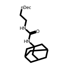 CCCCCCCCCCCCNC(=O)NC12CC3CC(CC(C3)C1)C2